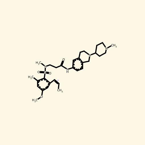 C/C=C\c1cc(OC)cc(C)c1S(=O)(=O)N(C)CCC(=O)Nc1ccc2c(c1)CCN(C1CCN(C)CC1)C2